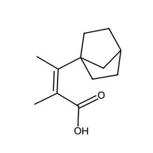 CC(C(=O)O)=C(C)C12CCC(CC1)C2